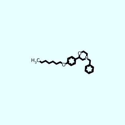 CCCCCCCOc1ccc(C2CN(Cc3ccccc3)CCO2)cc1